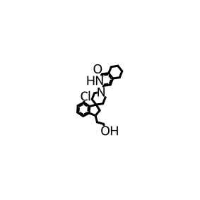 O=c1[nH]c(N2CCC3(CC2)CC(CCO)c2cccc(Cl)c23)cc2c1CCCC2